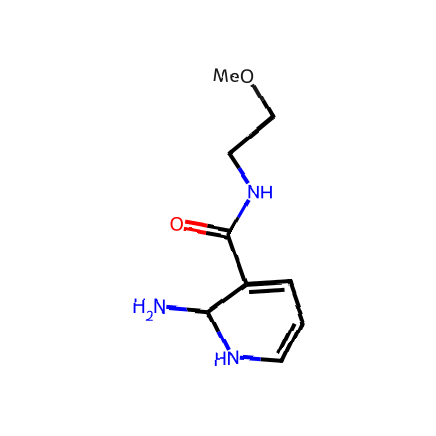 COCCNC(=O)C1=CC=CN[C]1N